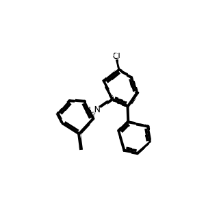 Cc1ccccc1.Nc1cc(Cl)ccc1-c1ccccc1